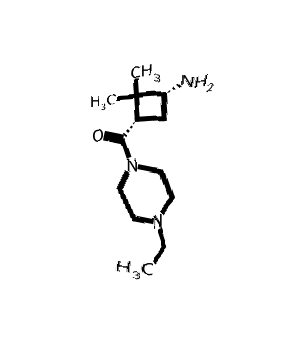 CCN1CCN(C(=O)[C@H]2C[C@@H](N)C2(C)C)CC1